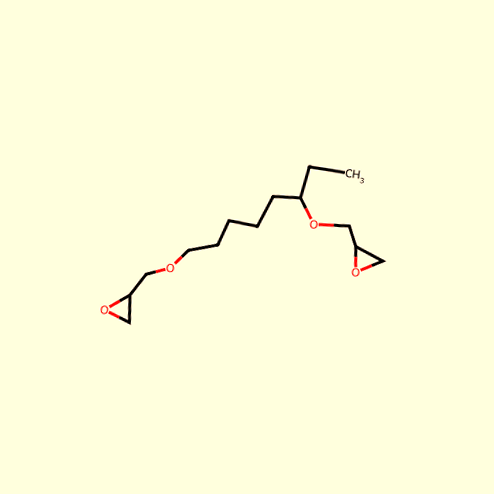 CCC(CCCCCOCC1CO1)OCC1CO1